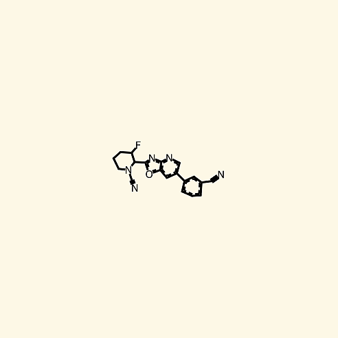 N#Cc1cccc(-c2cnc3nc(C4C(F)CCCN4C#N)oc3c2)c1